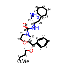 COCCCO[C@@H](c1ccccc1)[C@H]1CN(C(=O)N[C@H](CN)CC2CCCCC2)CCO1